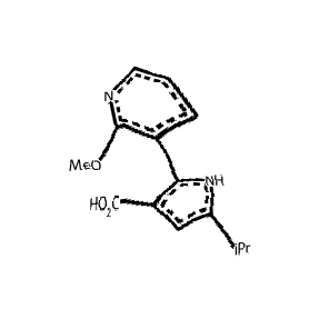 COc1ncccc1-c1[nH]c(C(C)C)cc1C(=O)O